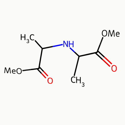 COC(=O)C(C)NC(C)C(=O)OC